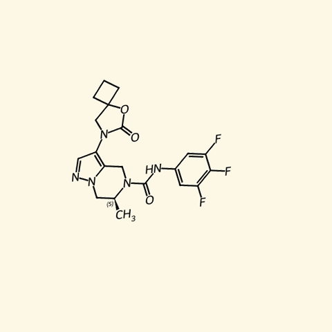 C[C@H]1Cn2ncc(N3CC4(CCC4)OC3=O)c2CN1C(=O)Nc1cc(F)c(F)c(F)c1